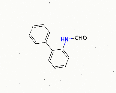 O=CNc1ccccc1-c1ccccc1